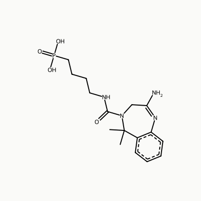 CC1(C)c2ccccc2N=C(N)CN1C(=O)NCCCCP(=O)(O)O